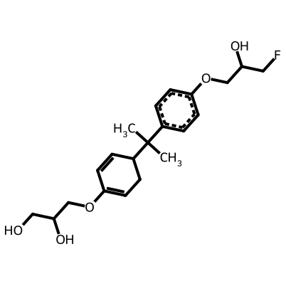 CC(C)(c1ccc(OCC(O)CF)cc1)C1C=CC(OCC(O)CO)=CC1